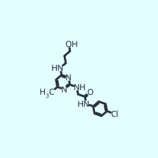 Cc1cc(NCCCO)nc(NCC(=O)Nc2ccc(Cl)cc2)n1